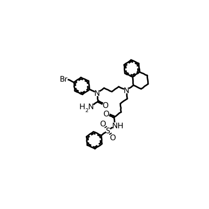 NC(=O)N(CCCN(CCCC(=O)NS(=O)(=O)c1ccccc1)C1CCCc2ccccc21)c1ccc(Br)cc1